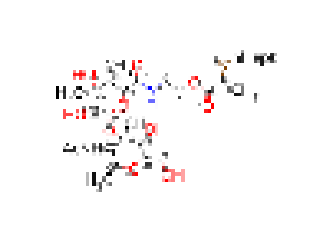 CCCCCCCSC(C)C(=O)OCCNC(=O)C1O[C@@H](O[C@]2(C)C(NC(C)=O)[C@H](C)OC(CO)[C@H]2O)C(O)[C@@](C)(O)[C@@H]1C